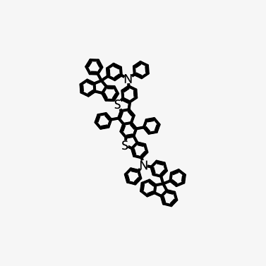 c1ccc(-c2c3cc4sc5cc(N(c6ccccc6)c6cccc(C7(c8ccccc8)c8ccccc8-c8ccccc87)c6)ccc5c4c(-c4ccccc4)c3cc3c2sc2cc(N(c4ccccc4)c4cccc(C5(c6ccccc6)c6ccccc6-c6ccccc65)c4)ccc23)cc1